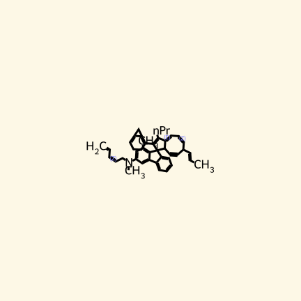 C=C/C=C\CN(C)c1cc(C)c2c(c1)-c1ccccc1C21C(C2=C3CC3=CCC2)=C(CCC)/C2=C/C=C\C(C=CC)C#CC21